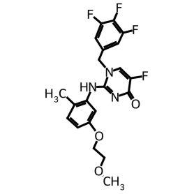 COCCOc1ccc(C)c(Nc2nc(=O)c(F)cn2Cc2cc(F)c(F)c(F)c2)c1